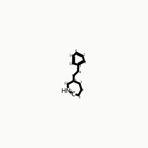 c1ccc(CCC2CCCCNC2)cc1